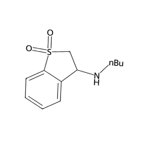 CCCCNC1CS(=O)(=O)c2ccccc21